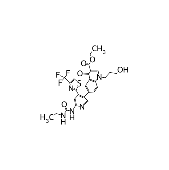 CCNC(=O)Nc1cc(-c2nc(C(F)(F)F)cs2)c(-c2ccc3c(c2)c(=O)c(C(=O)OCC)cn3CCCO)cn1